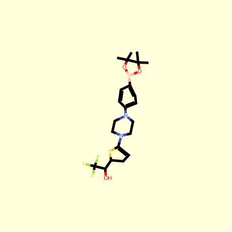 CC1(C)OB(c2ccc(N3CCN(C4=CCC(C(O)C(F)(F)F)S4)CC3)cc2)OC1(C)C